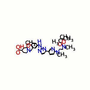 COc1ccc(Nc2nccc(-c3ccc(N(C)CCN(C)C(=O)OC(C)(C)C)nc3)n2)cc1CN1CCC(C(=O)O)CC1